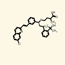 CC(CCS[C@@H](CCc1ccccc1C(C)(C)O)c1cccc(C=Cc2ccc3ccc(Cl)cc3n2)c1)C(=O)O